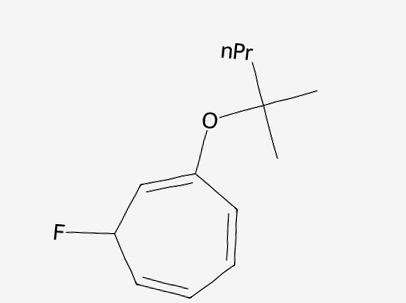 CCCC(C)(C)OC1=CC(F)C=CC=C1